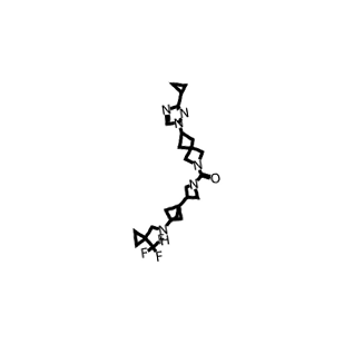 O=C(N1CC(C23CC(NCC4(C(F)(F)F)CC4)(C2)C3)C1)N1CC2(CC(n3cnc(C4CC4)n3)C2)C1